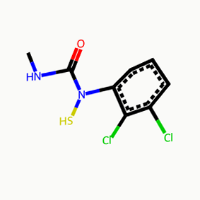 CNC(=O)N(S)c1cccc(Cl)c1Cl